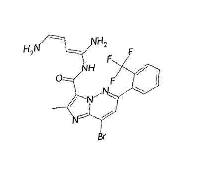 Cc1nc2c(Br)cc(-c3ccccc3C(F)(F)F)nn2c1C(=O)N/C(N)=C/C=C\N